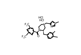 Cc1ccc(C[C@@H]2CN(Cc3cn(C)cn3)CCN2C(=O)c2cc(C(F)(F)F)cc(C(F)(F)F)c2)cc1C.Cl.Cl